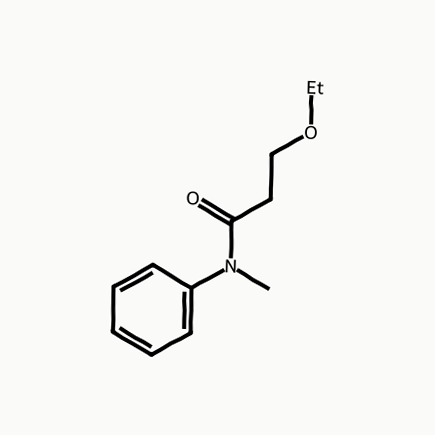 CCOCCC(=O)N(C)c1ccccc1